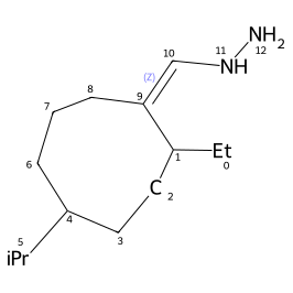 CCC1CCC(C(C)C)CCC/C1=C/NN